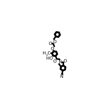 Cc1c(OCC(=O)OCc2ccccc2)ccc(C(=O)CN2Cc3cc(C#N)ccc3C2=O)c1O